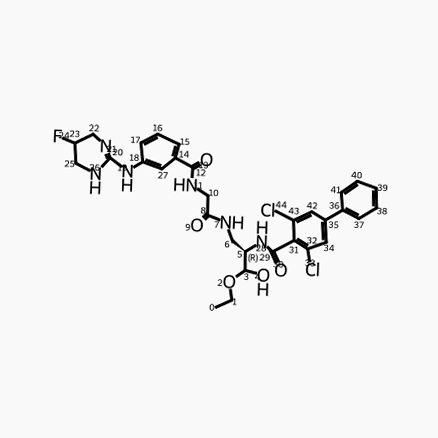 CCOC(O)[C@@H](CNC(=O)CNC(=O)c1cccc(NC2=NCC(F)CN2)c1)NC(=O)c1c(Cl)cc(-c2ccccc2)cc1Cl